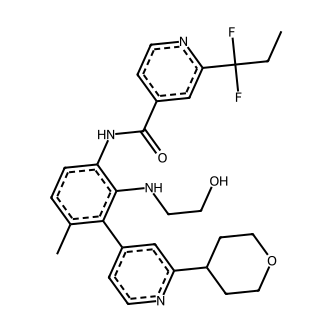 CCC(F)(F)c1cc(C(=O)Nc2ccc(C)c(-c3ccnc(C4CCOCC4)c3)c2NCCO)ccn1